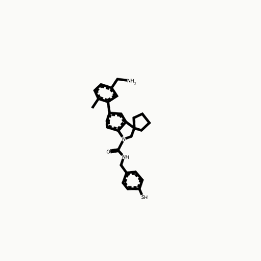 Cc1ccc(CN)cc1-c1ccc2c(c1)C1(CCCC1)CN2C(=O)NCc1ccc(S)cc1